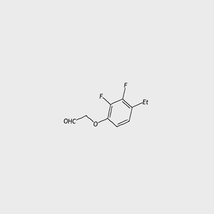 CCc1ccc(OCC=O)c(F)c1F